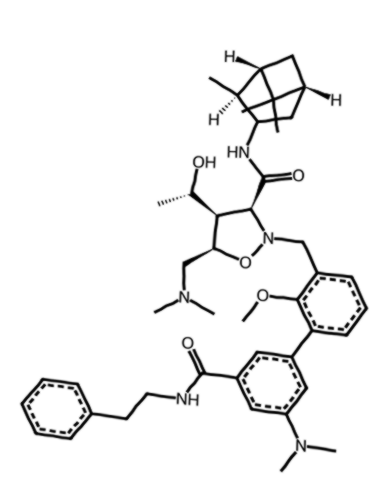 COc1c(CN2O[C@@H](CN(C)C)[C@@H]([C@H](C)O)[C@H]2C(=O)NC2C[C@H]3C[C@@H]([C@@H]2C)C3(C)C)cccc1-c1cc(C(=O)NCCc2ccccc2)cc(N(C)C)c1